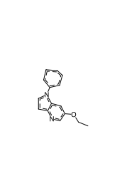 CCOc1cnc2ccn(-c3ccccc3)c2c1